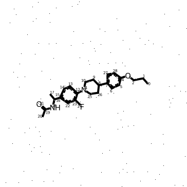 CCCOc1ccc(C2CCN(c3ccc(C(C)NC(C)=O)cc3F)CC2)cc1